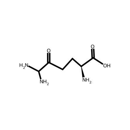 NC(N)C(=O)CC[C@H](N)C(=O)O